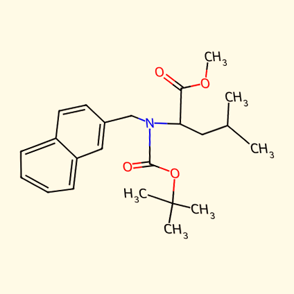 COC(=O)C(CC(C)C)N(Cc1ccc2ccccc2c1)C(=O)OC(C)(C)C